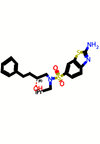 CC(C)CN(C[C@H](O)[CH]Cc1ccccc1)S(=O)(=O)c1ccc2nc(N)sc2c1